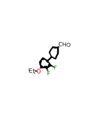 CCOc1ccc(C2CCC(C=O)CC2)c(F)c1F